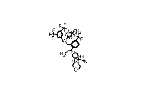 CCC(c1ccc(C(F)(F)F)cc1CN(Cc1cc(C(F)(F)F)cc(C(F)(F)F)c1)c1nnn(C)n1)N1C[C@@H]2[C@H](C1)C2(C#N)N1CCOCC1